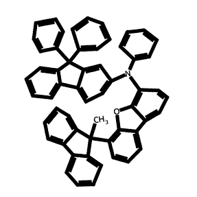 CC1(c2cccc3c2oc2c(N(c4ccccc4)c4ccc5c(c4)C(c4ccccc4)(c4ccccc4)c4ccccc4-5)cccc23)c2ccccc2-c2ccccc21